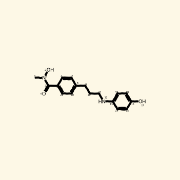 CN(O)C(=O)c1ccc(CCCNc2ccc(O)cc2)cc1